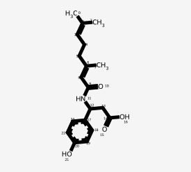 CC(C)=CCC/C(C)=C/C(=O)NC(CC(=O)O)c1ccc(O)cc1